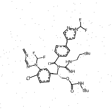 C=N/C=N\N(c1cc([C@@H](COC(=O)NC(C)(C)C)N(C(=N)NCCC(C)(C)C)C(=O)c2ccc(-c3cnn(C(F)F)c3)cc2)ccc1Cl)C(F)F